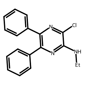 CCNc1nc(-c2ccccc2)c(-c2ccccc2)nc1Cl